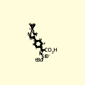 CC(C)(C)[S+]([O-])/N=C(\C(=O)O)c1ccc(-c2cnn(C3CC3)n2)cc1